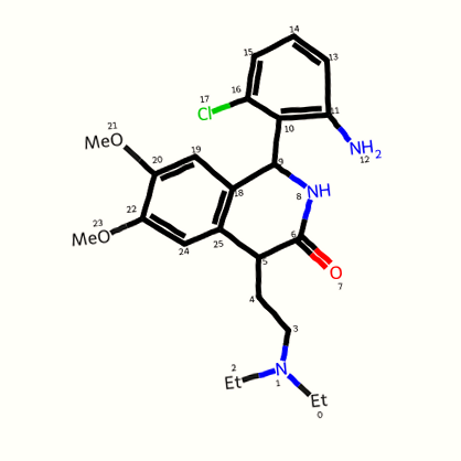 CCN(CC)CCC1C(=O)NC(c2c(N)cccc2Cl)c2cc(OC)c(OC)cc21